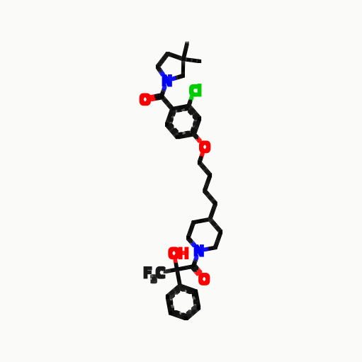 CC1(C)CCN(C(=O)c2ccc(OCCCCC3CCN(C(=O)C(O)(c4ccccc4)C(F)(F)F)CC3)cc2Cl)C1